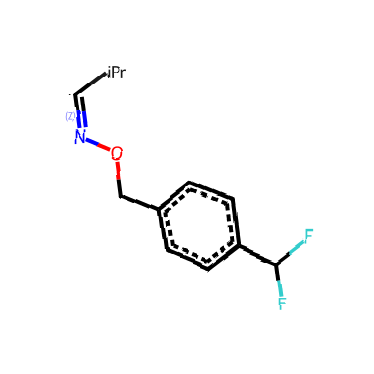 CC(C)/[C]=N\OCc1ccc(C(F)F)cc1